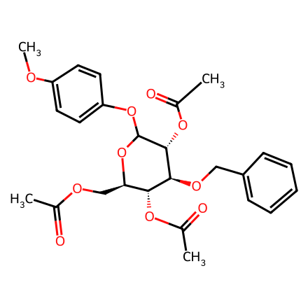 COc1ccc(OC2O[C@H](COC(C)=O)[C@@H](OC(C)=O)[C@H](OCc3ccccc3)[C@H]2OC(C)=O)cc1